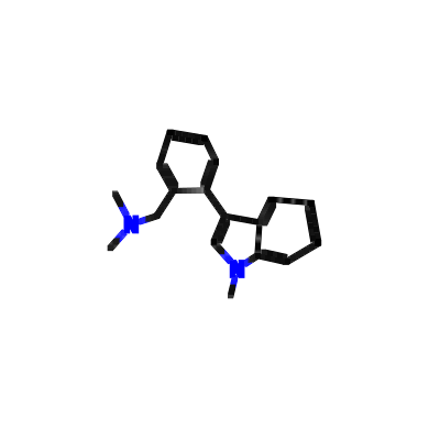 CN(C)Cc1ccccc1-c1cn(C)c2ccccc12